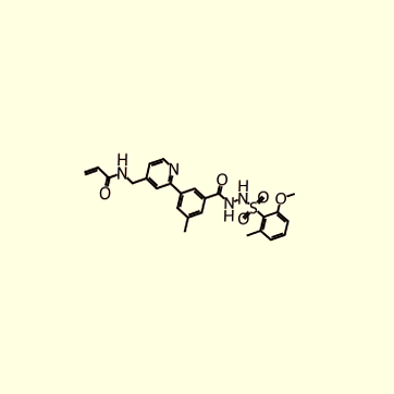 C=CC(=O)NCc1ccnc(-c2cc(C)cc(C(=O)NNS(=O)(=O)c3c(C)cccc3OC)c2)c1